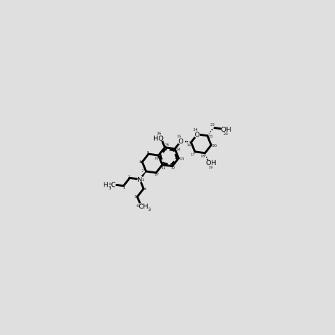 CCCN(CCC)[C@H]1CCc2c(ccc(O[C@H]3C[C@@H](O)C[C@@H](CO)O3)c2O)C1